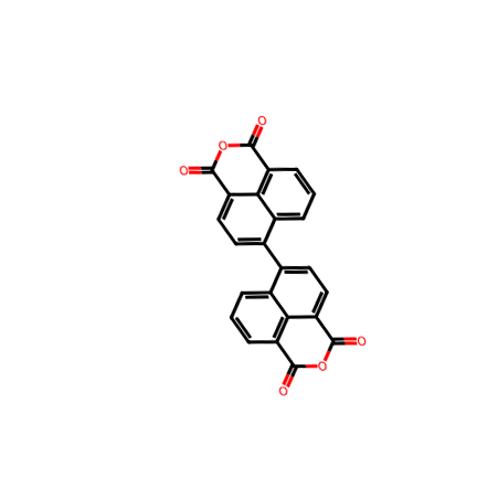 O=C1OC(=O)c2ccc(-c3ccc4c5c(cccc35)C(=O)OC4=O)c3cccc1c23